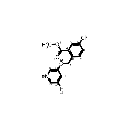 COC(=O)c1cc(Cl)ccc1COc1cncc(F)c1